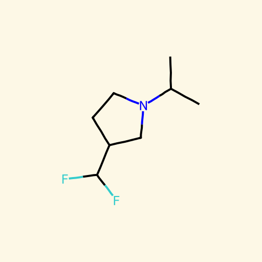 CC(C)N1CCC(C(F)F)C1